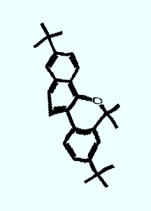 CC(C)(C)c1ccc2c(c1)C(C)(C)Oc1c-2ccc2cc(C(C)(C)C)ccc12